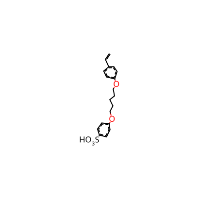 C=Cc1ccc(OCCCCCOc2ccc(S(=O)(=O)O)cc2)cc1